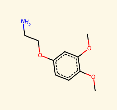 COc1ccc(OCCN)cc1OC